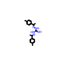 C/C(=N\NC(=N)N/N=C(\C)c1ccc(C)cc1)c1ccc(C)cc1